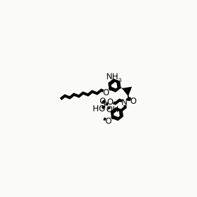 CCCCCCCCCCOc1cccc([C@@H]2C[C@H]2C(=O)N(CCOP(=O)(O)O)Cc2ccc(OC)cc2)c1.N